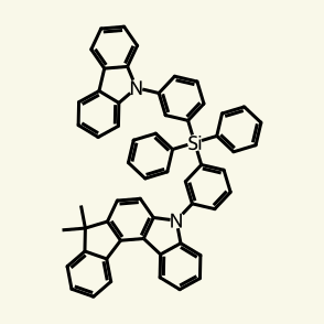 CC1(C)c2ccccc2-c2c1ccc1c2c2ccccc2n1-c1cccc([Si](c2ccccc2)(c2ccccc2)c2cccc(-n3c4ccccc4c4ccccc43)c2)c1